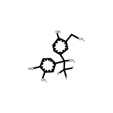 CCc1cc(C(C)(c2ccc(O)c(C)c2)C(F)(F)F)ccc1O